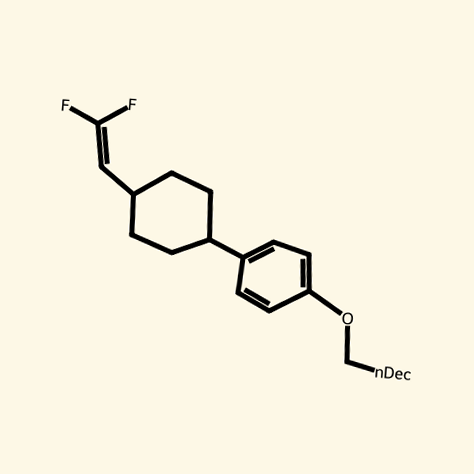 CCCCCCCCCCCOc1ccc(C2CCC(C=C(F)F)CC2)cc1